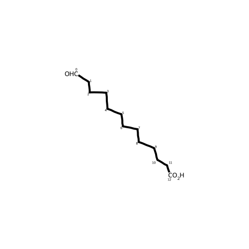 O=CCCCCCCCCCCCC(=O)O